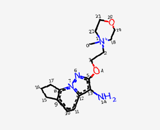 C[N+]1(CCOc2nn3c4c(ccc3c2N)CCC4)CCOCC1